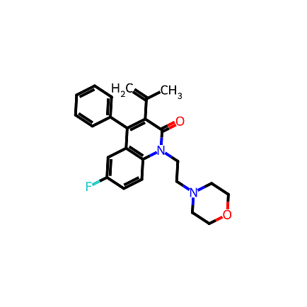 C=C(C)c1c(-c2ccccc2)c2cc(F)ccc2n(CCN2CCOCC2)c1=O